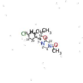 CC(=O)N1CCN(C[C@@H](C(=O)C(C)C)c2ccc(Cl)cc2)CC1